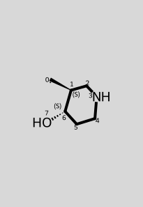 [CH2][C@H]1CNCC[C@@H]1O